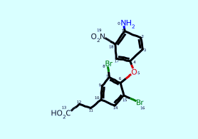 Nc1ccc(Oc2c(Br)cc(CCC(=O)O)cc2Br)cc1[N+](=O)[O-]